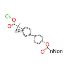 CCCCCCCCCC(=O)Oc1ccc(-c2ccc([C@](C)(CCC)C(=O)OCl)cc2)cc1